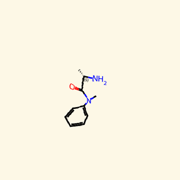 C[C@H](N)C(=O)N(C)c1ccccc1